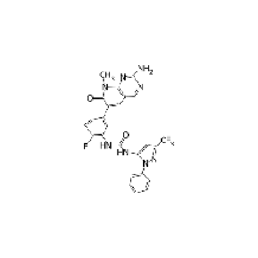 Cn1c(=O)c(-c2ccc(F)c(NC(=O)Nc3cc(C(F)(F)F)nn3-c3ccccc3)c2)cc2cnc(N)nc21